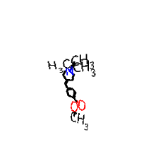 CCOC(=O)c1ccc(C=C2CCN(C(C)(C)C)CC2)cc1